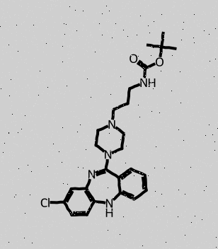 CC(C)(C)OC(=O)NCCCN1CCN(C2=Nc3cc(Cl)ccc3Nc3ccccc32)CC1